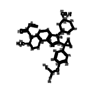 COC(=O)N1c2ccc3c(nc(C4(c5ccc(OC(F)F)nc5)CC4)n3[C@@H]3CCC[C@@H](C(=O)O)C3)c2CCC1C